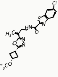 C=C(CCNC(=O)c1nc2ccc(Cl)cc2s1)c1nnc([C@H]2C[C@@H](OC(F)(F)F)C2)o1